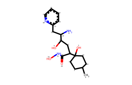 CC1CCC(O)(C(CC(O)C(N)Cc2ccccn2)C(=O)NO)CC1